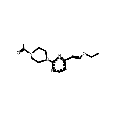 CCOC=Cc1ccnc(N2CCN(C(C)=O)CC2)n1